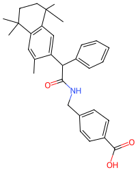 Cc1cc2c(cc1C(C(=O)NCc1ccc(C(=O)O)cc1)c1ccccc1)C(C)(C)CCC2(C)C